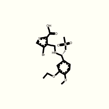 CCOc1cc([C@@H](CS(C)(=O)=O)NCc2c(Br)csc2C(=O)O)ccc1OC